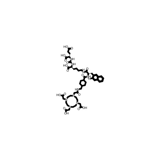 [3H]c1cc2ccccc2cc1C[C@H](NC(=O)C1CCC(CNC(=O)CN2CCN(CC(=O)O)CCN(CC(=O)O)CCN(CC(=O)O)CC2)CC1)C(=O)NCCCC[C@H](NC(=O)N[C@@H](CCC(=O)O)C(=O)O)C(=O)O